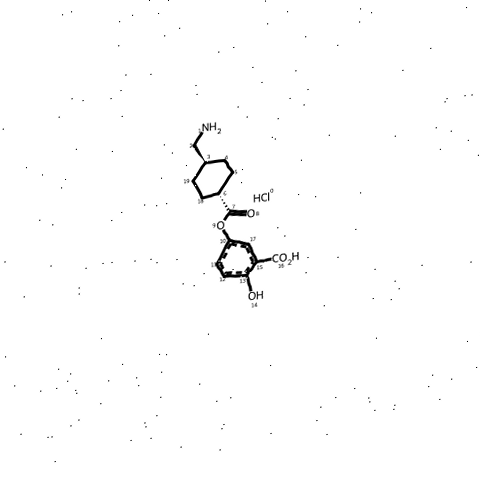 Cl.NC[C@H]1CC[C@H](C(=O)Oc2ccc(O)c(C(=O)O)c2)CC1